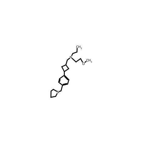 CCCN(CCOC)CC1CC(c2ccc(CN3CCCC3)cc2)C1